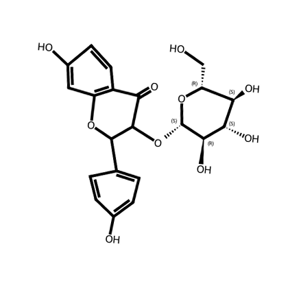 O=C1c2ccc(O)cc2OC(c2ccc(O)cc2)C1O[C@@H]1O[C@H](CO)[C@@H](O)[C@H](O)[C@H]1O